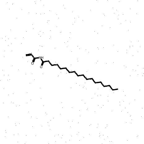 C=CC(=O)NC(=O)CCCCCCCCCCCCCCCCC